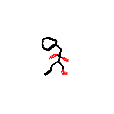 C=CCC(CO)C(O)(O)Cc1ccccc1